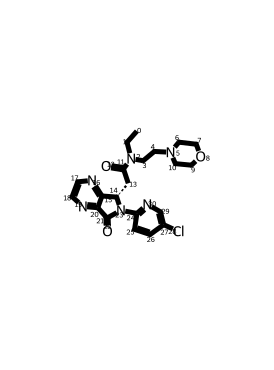 CCN(CCN1CCOCC1)C(=O)C[C@H]1c2nccnc2C(=O)N1c1ccc(Cl)cn1